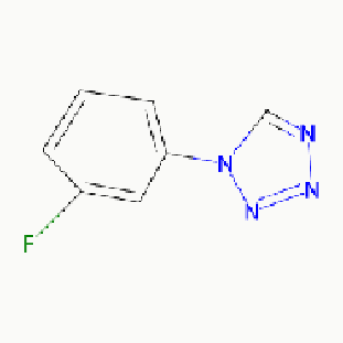 Fc1cccc(-n2cnnn2)c1